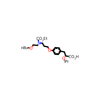 CCCCOCCN(CCCOc1ccc(CC(OC(C)C)C(=O)O)cc1)C(=O)OCC